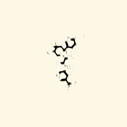 Cc1ccc([C@]2(C)CC(F)(F)[C@H](C)CN2C(=O)C(=O)Nc2cncc(C(N)=O)c2)cn1